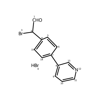 Br.O=CC(Br)c1ccc(-c2cccnc2)cc1